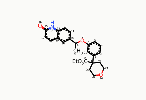 CCOC(=O)C1(c2cccc(OC(C)c3ccc4[nH]c(=O)ccc4c3)c2)CCOCC1